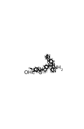 C#Cc1ccc(C(=O)N[C@H]2CCc3cc(-n4c(-c5cccnc5N)nc5ccc(-n6cccn6)nc54)ccc32)cc1C=O